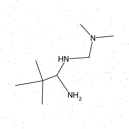 CN(C)CNC(N)C(C)(C)C